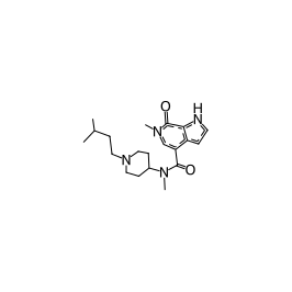 CC(C)CCN1CCC(N(C)C(=O)c2cn(C)c(=O)c3[nH]ccc23)CC1